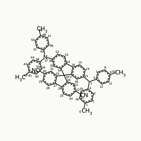 Cc1ccc(C(c2ccc(C)cc2)c2ccc3c(c2)C2(c4cc(C#N)ccc4-c4ccc(C#N)cc42)c2cc(N(c4ccc(C)cc4)c4ccc(C)cc4)ccc2-3)cc1